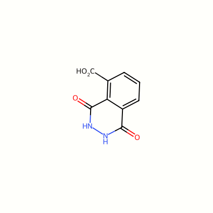 O=C(O)c1cccc2c(=O)[nH][nH]c(=O)c12